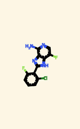 Nc1ncc(F)c2[nH]c(-c3c(F)cccc3Cl)nc12